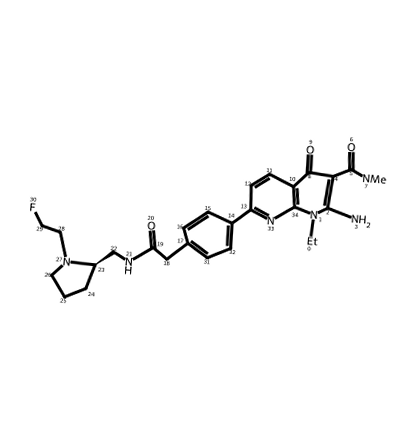 CCn1c(N)c(C(=O)NC)c(=O)c2ccc(-c3ccc(CC(=O)NC[C@H]4CCCN4CCF)cc3)nc21